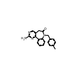 Cc1ccc(CN2C(=O)Cc3cnc(N)nc3-c3ccccc32)cc1